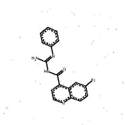 CCc1ccc2nccc(C(=O)NC(N)=Nc3ccccc3)c2c1